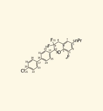 CCCc1cc(F)c2c(c1)CC(F)(F)C(c1ccc(-c3ccc(Cl)cc3)cc1)O2